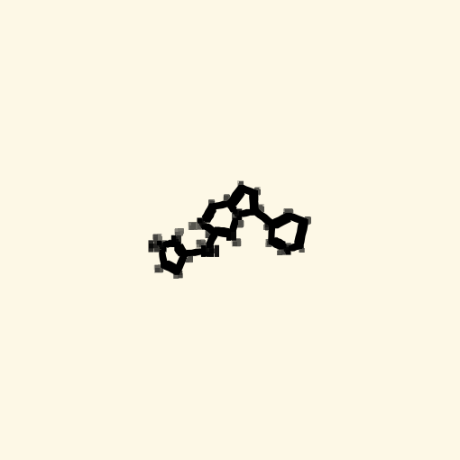 c1cncc(-c2ccc3cnc(Nc4cc[nH]n4)nn23)c1